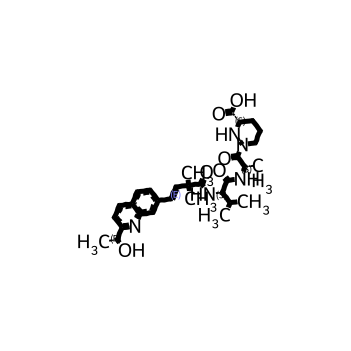 CC(C)[C@H](NC(=O)C(C)(C)/C=C/c1ccc2ccc([C@@H](C)O)nc2c1)C(=O)N[C@@H](C)C(=O)N1CCC[C@@H](C(=O)O)N1